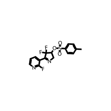 Cc1ccc(S(=O)(=O)OC2CN=C(c3cccnc3F)C2(F)F)cc1